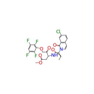 CC[C@@H](C(=O)NC(CC(=O)OC)C(=O)COc1c(F)c(F)cc(F)c1F)n1ccc2ccc(Cl)cc2c1=O